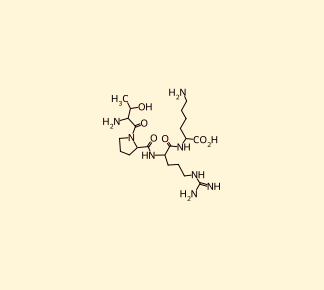 CC(O)C(N)C(=O)N1CCCC1C(=O)NC(CCCNC(=N)N)C(=O)NC(CCCCN)C(=O)O